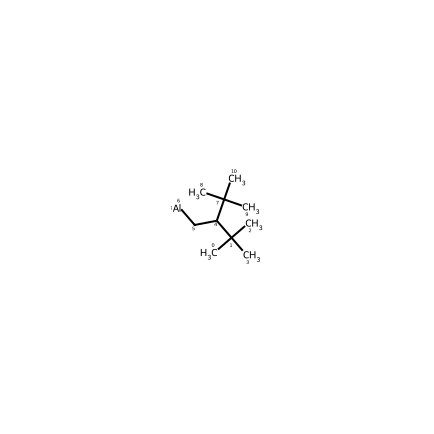 CC(C)(C)C([CH2][Al])C(C)(C)C